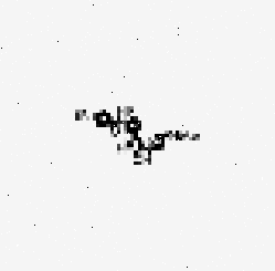 CNCc1ccc(Nc2cc(-c3ccc(F)c(NC(=O)c4ccc(C(C)(C)C)cc4)c3)n[nH]c2=O)nc1